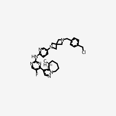 C[C@H]1CCCCn2ncc(-c3nc(Nc4ccc(N5CC6(CN(Cc7ccc(CCl)cc7)C6)C5)cn4)ncc3F)c21